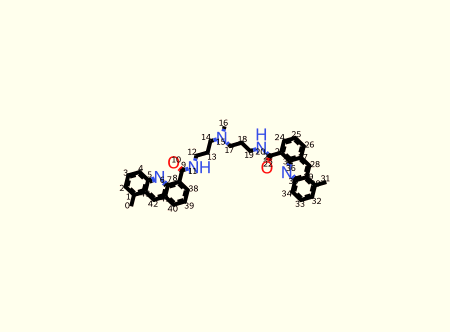 Cc1cccc2nc3c(C(=O)NCCCN(C)CCCNC(=O)c4cccc5cc6c(C)cccc6nc45)cccc3cc12